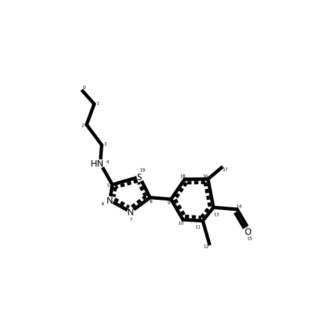 CCCCNc1nnc(-c2cc(C)c(C=O)c(C)c2)s1